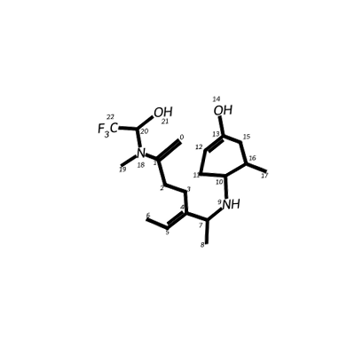 C=C(CC/C(=C\C)C(C)NC1CC=C(O)CC1C)N(C)C(O)C(F)(F)F